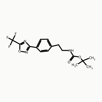 CC(C)(C)OC(=O)NCCc1ccc(-c2noc(C(F)(F)F)n2)cc1